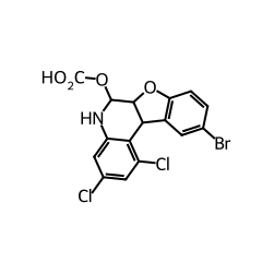 O=C(O)OC1Nc2cc(Cl)cc(Cl)c2C2c3cc(Br)ccc3OC12